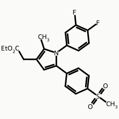 CCOC(=O)Cc1cc(-c2ccc(S(C)(=O)=O)cc2)n(-c2ccc(F)c(F)c2)c1C